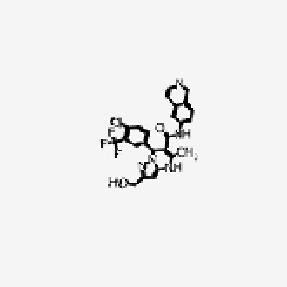 CC1=C(C(=O)Nc2ccc3cnccc3c2)C(c2ccc(Cl)c(C(F)(F)F)c2)n2nc(CO)cc2N1